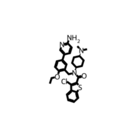 CCOc1ccc(-c2ccc(N)nc2)cc1CN(C(=O)c1sc2ccccc2c1Cl)[C@H]1CC[C@H](N(C)C)CC1